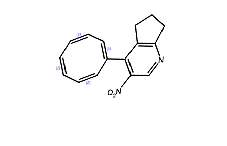 O=[N+]([O-])c1cnc2c(c1C1=C/C=C\C=C/C=C\1)CCC2